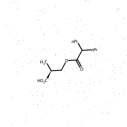 CCCC(CCC)C(=O)OC[C@H](C)C(=O)O